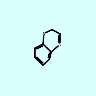 [c]1ccc2c(c1)N=CCS2